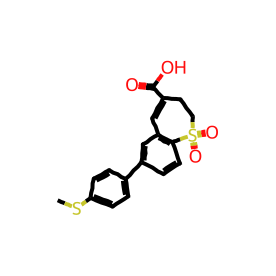 CSc1ccc(-c2ccc3c(c2)C=C(C(=O)O)CCS3(=O)=O)cc1